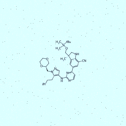 CC(C)CCc1c(Nc2nccc(-c3cc(C#N)c4c(c3)[C@@](C)(CO[Si](C)(C)C(C)(C)C)CN4)n2)cnn1C[C@@H]1COCCO1